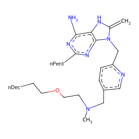 C=C1Nc2c(N)nc(CCCCC)nc2N1Cc1ccc(CN(C)CCOCCCCCCCCCCCC)cn1